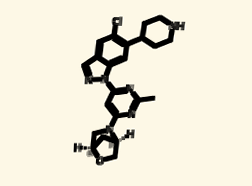 Cc1nc(N2C[C@H]3C[C@@H]2CO3)cc(-n2ncc3cc(Cl)c(C4CCNCC4)cc32)n1